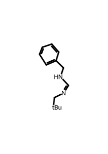 CC(C)(C)C/N=C\NCc1ccccc1